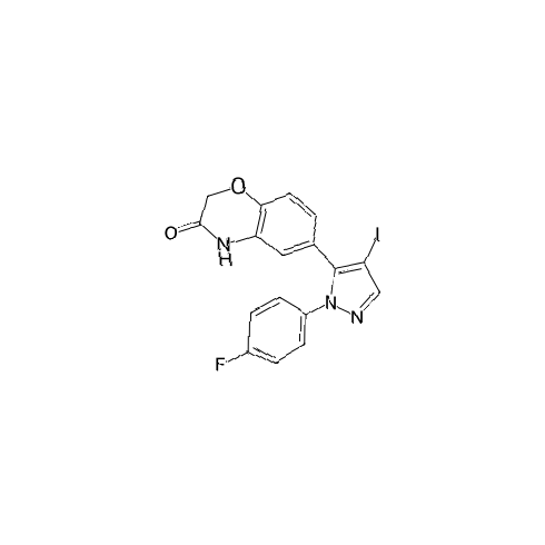 O=C1COc2ccc(-c3c(I)cnn3-c3ccc(F)cc3)cc2N1